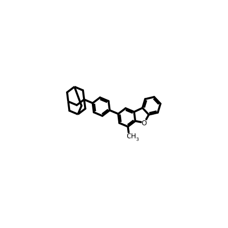 Cc1cc(-c2ccc(C34CC5CC(CC(C5)C3)C4)cc2)cc2c1oc1ccccc12